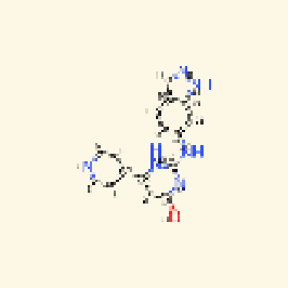 O=c1cc(-c2ccncc2)[nH]c(Nc2ccc3cn[nH]c3c2)n1